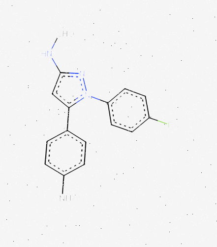 CC(=O)Nc1ccc(-c2cc(NC=O)nn2-c2ccc(F)cc2)cc1